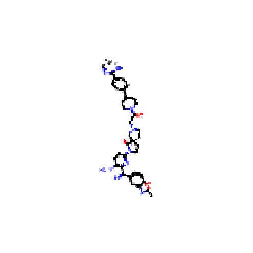 CN/C=N\C(=N)c1ccc(C2=CCN(C(=O)CN3CC[C@]4(CCN(c5ccc(N)c(C(=N)c6ccc7oc(C)nc7c6)n5)C4=O)C3)CC2)cc1